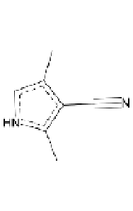 Cc1c[nH]c(C)c1C#N